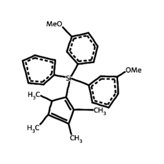 COc1cccc([Si](C2=C(C)C(C)=C(C)C2C)(c2ccccc2)c2cccc(OC)c2)c1